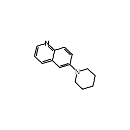 c1cnc2ccc(N3CCCCC3)cc2c1